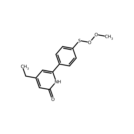 CCc1cc(-c2ccc(SOOC)cc2)[nH]c(=O)c1